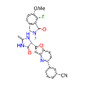 C=C1NC(=O)[C@](CN2Cc3ccc(OC)c(F)c3C2=O)(c2cc3nc(-c4cccc(C#N)c4)ccc3o2)N1